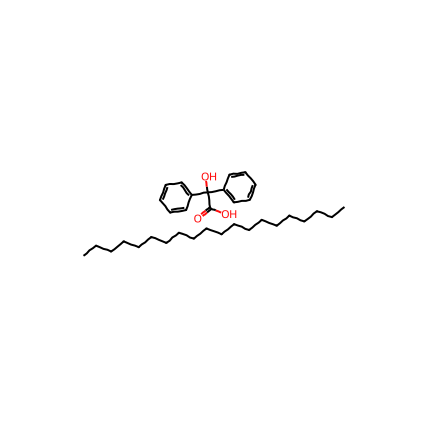 CCCCCCCCCCCCCCCCCCCC.O=C(O)C(O)(c1ccccc1)c1ccccc1